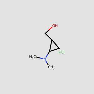 CN(C)C1CC1CO.Cl